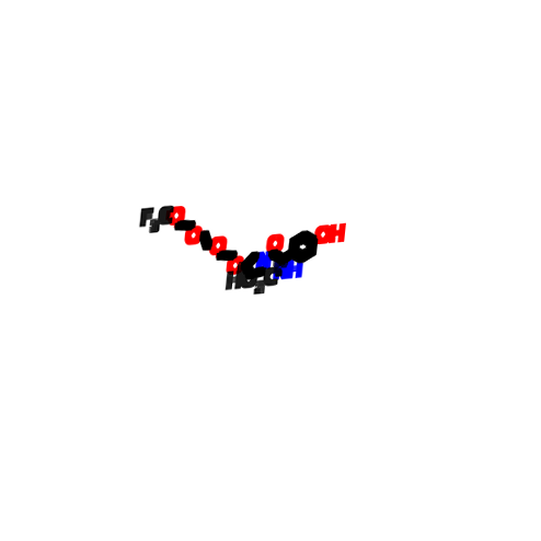 O=C(O)N[C@H](C(=O)N1CC[C@H](OCCOCCOCCOC(F)(F)F)C1)c1ccc(O)cc1